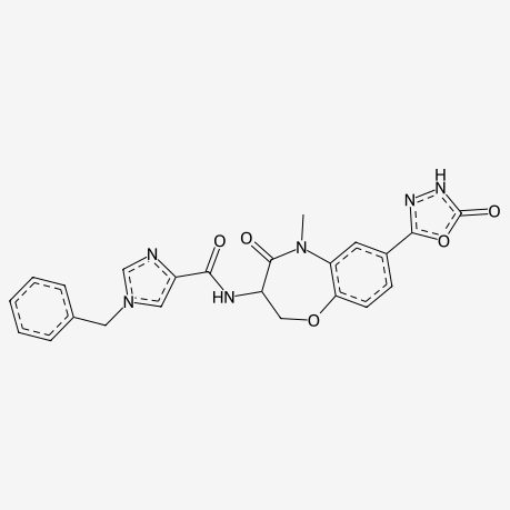 CN1C(=O)C(NC(=O)c2cn(Cc3ccccc3)cn2)COc2ccc(-c3n[nH]c(=O)o3)cc21